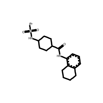 CC(C)S(=O)(=O)NC1CCC(C(=O)Nc2cccc3c2CCCC3)CC1